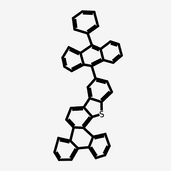 c1ccc(-c2c3ccccc3c(-c3ccc4sc5c(ccc6c7ccccc7c7ccccc7c65)c4c3)c3ccccc23)cc1